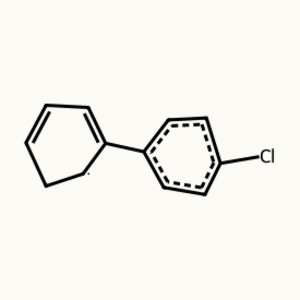 Clc1ccc(C2=CC=CC[CH]2)cc1